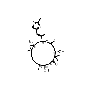 CC[C@@]12C[C@@H](C(C)=Cc3csc(C)n3)OC(=O)C[C@H](O)C(C)(C)C(=O)[C@H](C)[C@@H](O)[C@@H](C)CCC[C@@H]1O2